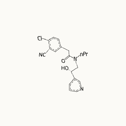 CCCN(C[C@@H](O)c1cccnc1)C(=O)Cc1ccc(Cl)c(C#N)c1